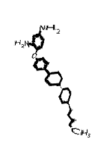 CCCCC[C@H]1CC[C@H](C2CCC(c3ccc(Oc4ccc(N)cc4N)cc3)CC2)CC1